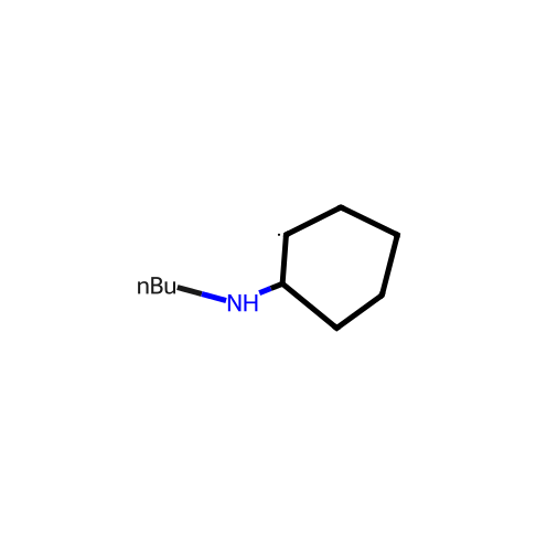 CCCCNC1[CH]CCCC1